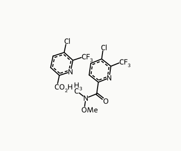 CON(C)C(=O)c1ccc(Cl)c(C(F)(F)F)n1.O=C(O)c1ccc(Cl)c(C(F)(F)F)n1